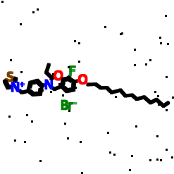 CCCCCCCCCCCCCCOc1ccc(CN(C(=O)CC)c2ccc(C[n+]3ccsc3)cc2)cc1F.[Br-]